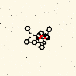 c1ccc(C2=NC(c3ccccc3-c3ccc4c(c3)Oc3ccccc3C43c4ccccc4C4(c5ccccc5-c5ccccc54)c4ccccc43)=NC(c3ccc(-c4cccc5c4oc4ccccc45)cc3)N2)cc1